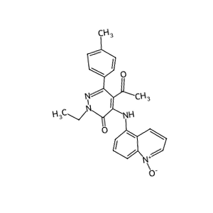 CCn1nc(-c2ccc(C)cc2)c(C(C)=O)c(Nc2cccc3c2ccc[n+]3[O-])c1=O